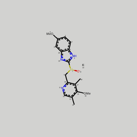 COc1ccc2[nH]c([S@@+]([O-])Cc3ncc(C)c(OC)c3C)nc2c1.[K]